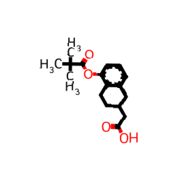 CC(C)(C)C(=O)Oc1cccc2c1CCC(CC(=O)O)C2